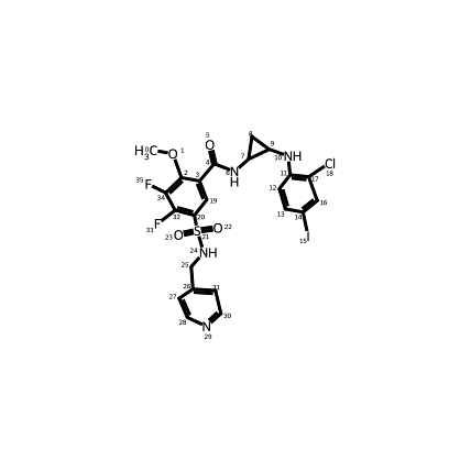 COc1c(C(=O)NC2CC2Nc2ccc(I)cc2Cl)cc(S(=O)(=O)NCc2ccncc2)c(F)c1F